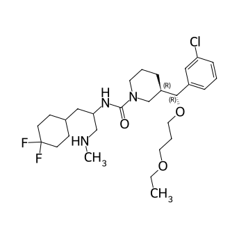 CCOCCCO[C@@H](c1cccc(Cl)c1)[C@@H]1CCCN(C(=O)NC(CNC)CC2CCC(F)(F)CC2)C1